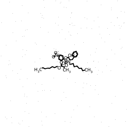 CCCCCCCCOC(=O)C(C)OP(=O)(Oc1ccc([N+](=O)[O-])cc1)N(CCCCCCCC)C(Cc1ccccc1)C(=O)O